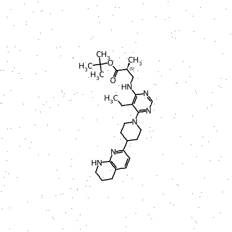 CCc1c(NC[C@H](C)C(=O)OC(C)(C)C)ncnc1N1CCC(c2ccc3c(n2)NCCC3)CC1